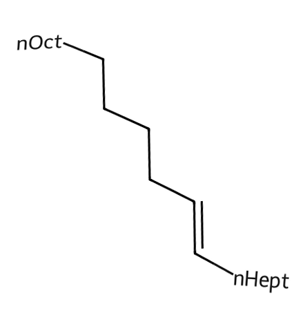 [CH2]CCCCCC/C=C/CCCCCCCCCCC[CH2]